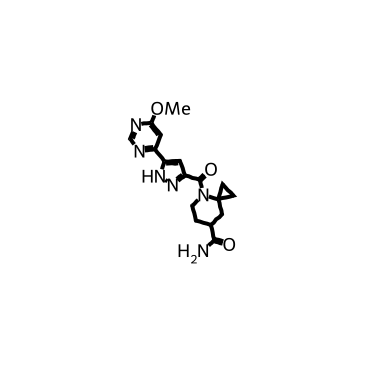 COc1cc(-c2cc(C(=O)N3CCC(C(N)=O)CC34CC4)n[nH]2)ncn1